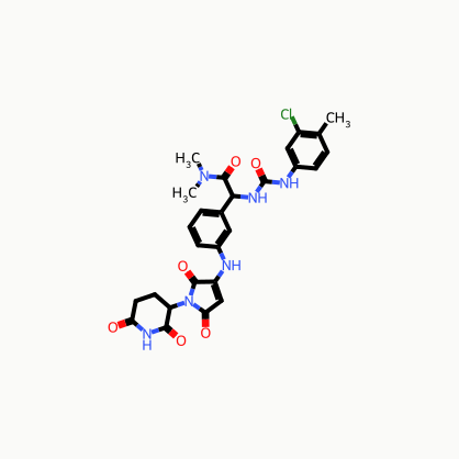 Cc1ccc(NC(=O)NC(C(=O)N(C)C)c2cccc(NC3=CC(=O)N(C4CCC(=O)NC4=O)C3=O)c2)cc1Cl